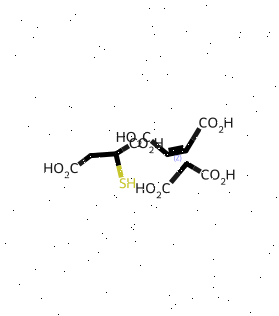 O=C(O)/C=C\C(=O)O.O=C(O)CC(=O)O.O=C(O)CC(S)C(=O)O